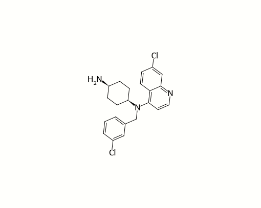 N[C@H]1CC[C@@H](N(Cc2cccc(Cl)c2)c2ccnc3cc(Cl)ccc23)CC1